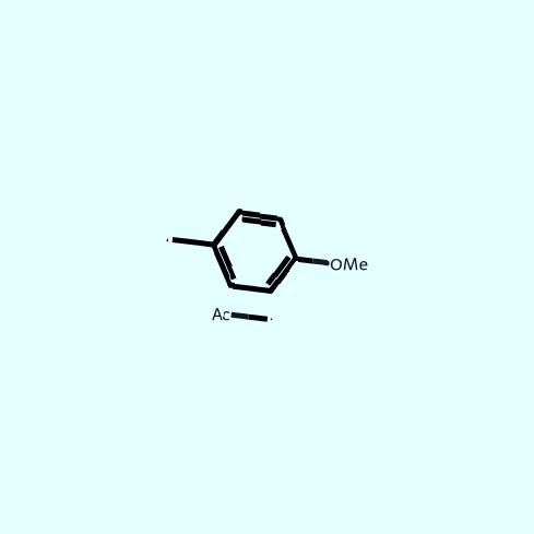 [CH2]C(C)=O.[CH2]c1ccc(OC)cc1